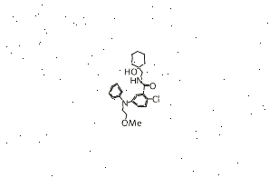 COCCN(c1ccccc1)c1ccc(Cl)c(C(=O)NCC2(O)CCCCC2)c1